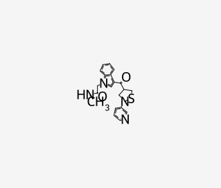 CNC(=O)Cn1cc(C(=O)C2CSN(c3cccnc3)C2)c2ccccc21